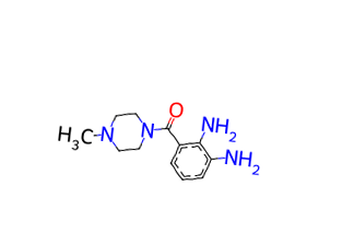 CN1CCN(C(=O)c2cccc(N)c2N)CC1